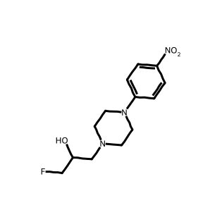 O=[N+]([O-])c1ccc(N2CCN(CC(O)CF)CC2)cc1